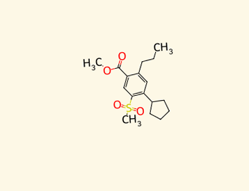 CCCc1cc(C2CCCC2)c(S(C)(=O)=O)cc1C(=O)OC